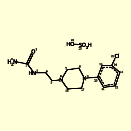 NC(=O)NCCN1CCN(c2cccc(Cl)c2)CC1.O=S(=O)(O)O